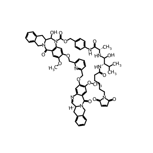 COc1cc2c(cc1OCc1cccc(COc3cc4c(cc3OC)C(=O)N3Cc5ccccc5CC3C(O)N4C(=O)OCc3ccc(NC(=O)[C@H](C)NC(O)[C@@H](NC(=O)CCCCCN4C(=O)C=CC4=O)C(C)C)cc3)n1)N=C[C@@H]1Cc3ccccc3CN1C2=O